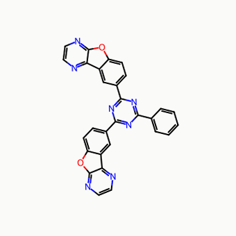 c1ccc(-c2nc(-c3ccc4oc5nccnc5c4c3)nc(-c3ccc4oc5nccnc5c4c3)n2)cc1